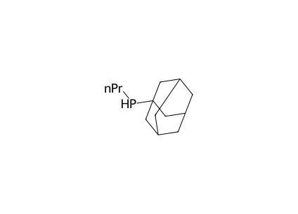 CCCPC12CC3CC(CC(C3)C1)C2